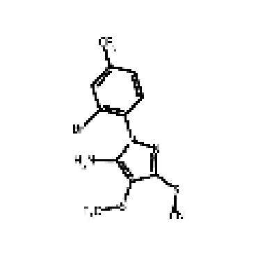 N#CSc1nn(-c2ccc(C(F)(F)F)cc2Br)c(N)c1SC(F)(F)F